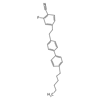 CCCCCCc1ccc(-c2ccc(CCc3ccc(C#N)c(F)c3)cc2)cc1